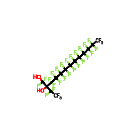 OC(F)(F)C(O)(C(F)(F)C(F)(F)F)C(F)(F)C(F)(F)C(F)(F)C(F)(F)C(F)(F)C(F)(F)C(F)(F)C(F)(F)C(F)(F)C(F)(F)C(F)(F)F